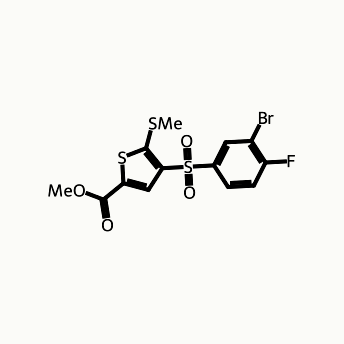 COC(=O)c1cc(S(=O)(=O)c2ccc(F)c(Br)c2)c(SC)s1